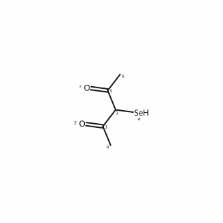 CC(=O)C([SeH])C(C)=O